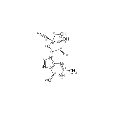 Cc1nc2c(ncn2[C@@H]2O[C@](C#N)(CO)[C@@H](O)[C@H]2F)c(=O)[nH]1